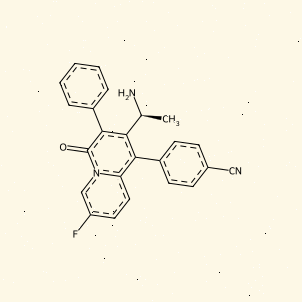 C[C@H](N)c1c(-c2ccccc2)c(=O)n2cc(F)ccc2c1-c1ccc(C#N)cc1